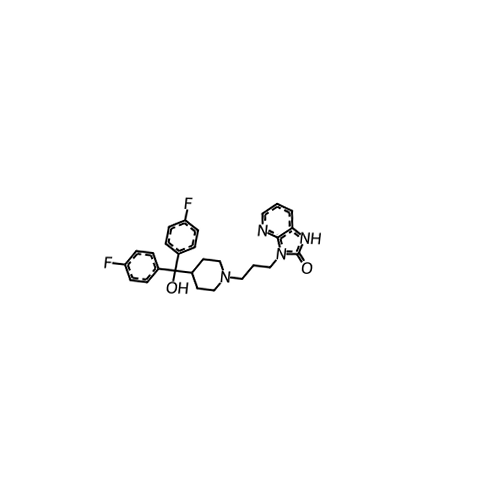 O=c1[nH]c2cccnc2n1CCCN1CCC(C(O)(c2ccc(F)cc2)c2ccc(F)cc2)CC1